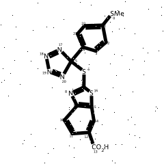 CSc1ccc(C2(Sc3nc4ccc(C(=O)O)cc4s3)N=NN=N2)cc1